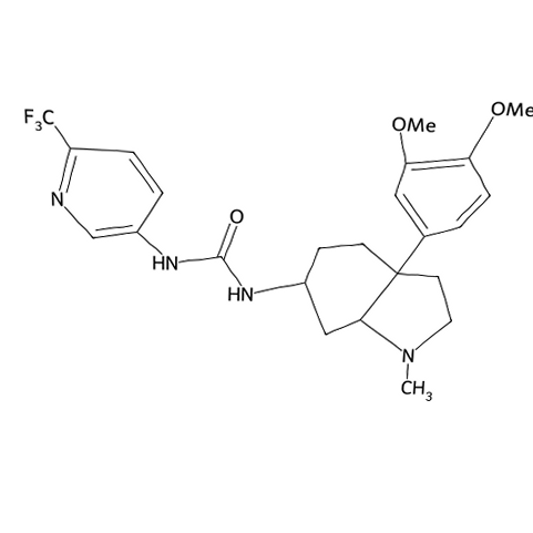 COc1ccc(C23CCC(NC(=O)Nc4ccc(C(F)(F)F)nc4)CC2N(C)CC3)cc1OC